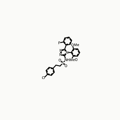 COc1cccc(OC)c1-n1c(NS(=O)(=O)CCc2ccc(Cl)cc2)nnc1-c1ccccc1F